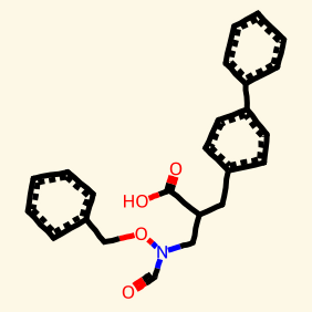 O=CN(CC(Cc1ccc(-c2ccccc2)cc1)C(=O)O)OCc1ccccc1